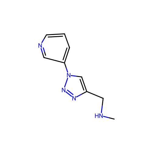 CNCc1cn(-c2cccnc2)nn1